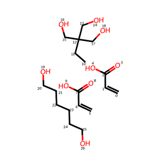 C=CC(=O)O.C=CC(=O)O.CCC(CO)(CO)CO.OCCCCCCO